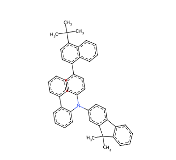 CC(C)(C)c1ccc(-c2ccc(N(c3ccc4c(c3)C(C)(C)c3ccccc3-4)c3ccccc3-c3ccccc3)cc2)c2ccccc12